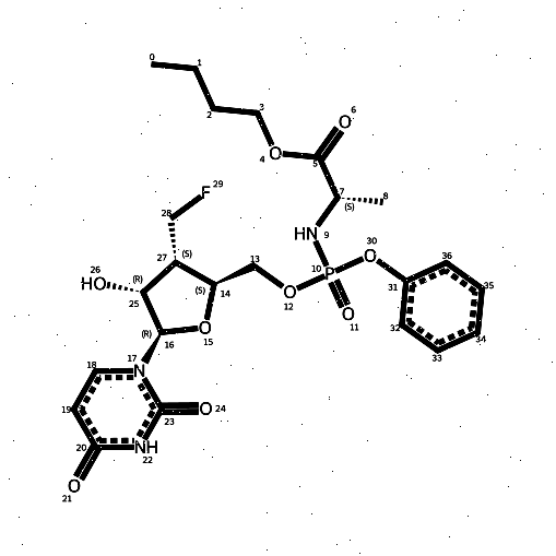 CCCCOC(=O)[C@H](C)NP(=O)(OC[C@H]1O[C@@H](n2ccc(=O)[nH]c2=O)[C@H](O)[C@@H]1CF)Oc1ccccc1